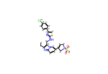 CCc1nc2ccc(C3=CCN(S(C)(=O)=O)C3)cn2c1CNc1nc(-c2ccc(Cl)cc2)cs1